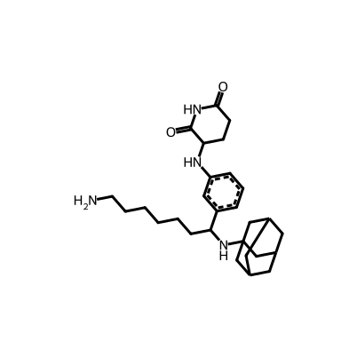 NCCCCCCC(NC12CC3CC(CC(C3)C1)C2)c1cccc(NC2CCC(=O)NC2=O)c1